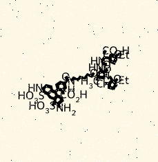 CCOc1cccc([C@H](CC(=O)O)NC(=O)Nc2c(OCCCCCCNC(=O)c3ccc(C4=C5C=CC(=N)C(S(=O)(=O)O)=C5Cc5c4ccc(N)c5S(=O)(=O)O)c(C(=O)O)c3)c(C)cn(Cc3c(Cl)cccc3OCC)c2=O)c1